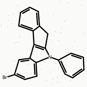 Brc1ccc2c(c1)c1c(n2-c2ccccc2)Cc2ccccc2-1